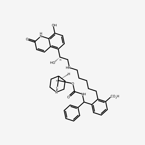 O=C(NC(c1ccccc1)c1cccc(C(=O)O)c1CCCCCNC[C@H](O)c1ccc(O)c2[nH]c(=O)ccc12)O[C@H]1CN2CCC1CC2